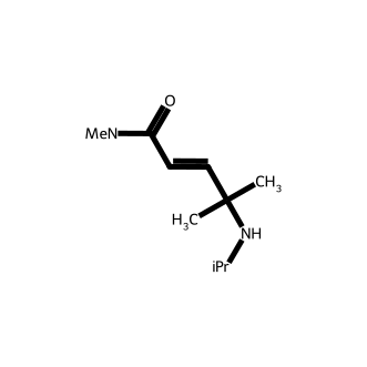 CNC(=O)C=CC(C)(C)NC(C)C